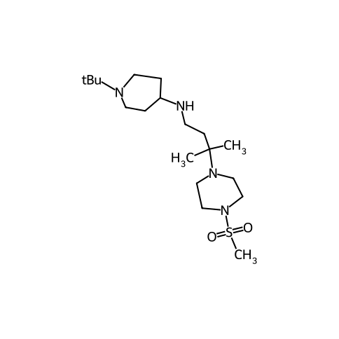 CC(C)(C)N1CCC(NCCC(C)(C)N2CCN(S(C)(=O)=O)CC2)CC1